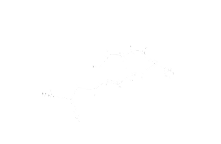 CNC(=O)COc1ccc2cnc(C)cc2c1